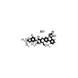 CCCc1nc(C)n(-c2cc(F)c3c(c2)CC(C)(C)O3)c(=O)c1Cc1ccc(-c2ccccc2-c2noc(=O)[nH]2)cc1.[KH]